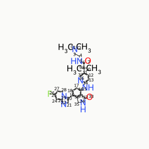 CN(C)CCNC(=O)C(C)(C)c1ccc(Nc2ccc(-c3cnc4cc(F)ccn34)c3c2C(=O)NC3)nc1